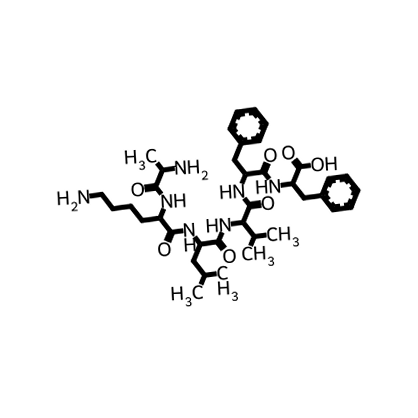 CC(C)CC(NC(=O)C(CCCCN)NC(=O)C(C)N)C(=O)NC(C(=O)NC(Cc1ccccc1)C(=O)NC(Cc1ccccc1)C(=O)O)C(C)C